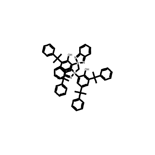 CC(C)(c1ccccc1)c1cc(C(C)(C)c2ccccc2)c(O)c([N+]2(C[N+]3(c4cc(C(C)(C)c5ccccc5)cc(C(C)(C)c5ccccc5)c4O)N=c4ccccc4=N3)N=c3ccccc3=N2)c1